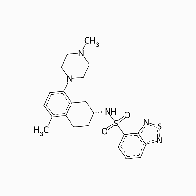 Cc1ccc(N2CCN(C)CC2)c2c1CC[C@@H](NS(=O)(=O)c1cccc3nsnc13)C2